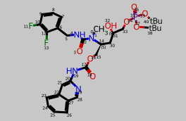 CN(C(=O)NCc1cccc(F)c1F)[C@H](COC(=O)Nc1cc2ccccc2cn1)C[C@@H](O)COP(=O)(OC(C)(C)C)OC(C)(C)C